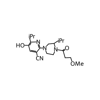 COCCC(=O)N1CCN(c2nc(C(C)C)c(O)cc2C#N)CC1C(C)C